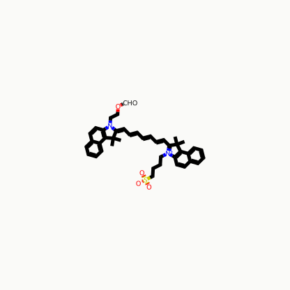 CC1(C)C(/C=C/C=C/C=C/C=C2/N(CCOC=O)c3ccc4ccccc4c3C2(C)C)=[N+](CCCCS(=O)(=O)[O-])c2ccc3ccccc3c21